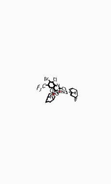 CC(C)(C)OC(=O)N1C2CCC1CN(c1nc(OC[C@]34CCCN3C[C@@H](F)C4)nc3c(Cl)c(Br)c(C(F)(F)F)cc13)C2